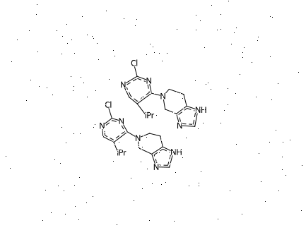 CC(C)c1cnc(Cl)nc1N1CCc2[nH]cnc2C1.CC(C)c1cnc(Cl)nc1N1CCc2[nH]cnc2C1